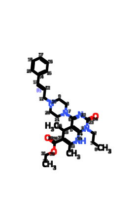 CCCn1c2c(c(N3CCN(C/C=C/c4ccccc4)CC3)nc1=O)C(C)C(C(=O)OCC)=C(C)N2